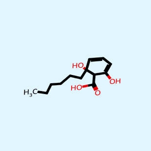 CCCCCCC1(O)C=CC=C(O)C1C(=O)O